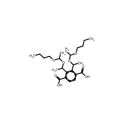 CCCCOC(C)OC(C)c1c(C(=O)O)ccc(C(=O)O)c1C(C)OC(C)OCCCC